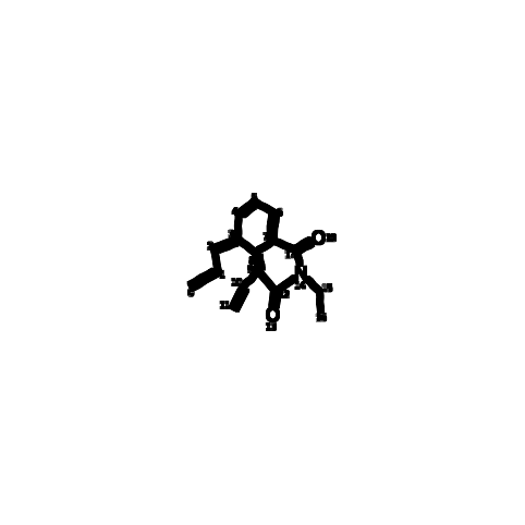 C=C/C=c1/cccc2c1=C(C=C)C(=O)N(CC)C2=O